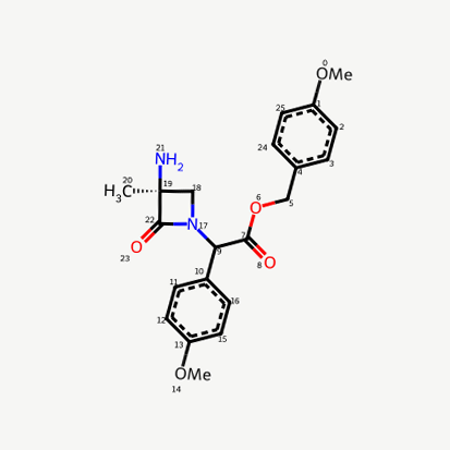 COc1ccc(COC(=O)C(c2ccc(OC)cc2)N2C[C@](C)(N)C2=O)cc1